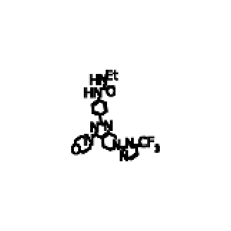 CCNC(=O)Nc1ccc(-c2nc3c(c(N4CCOCC4)n2)CCN(c2nccc(C(F)(F)F)n2)C3)cc1